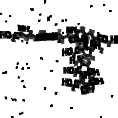 CC(O)C(N)C(=O)O.CSCCC(N)C(=O)O.Cl.NC(CO)C(=O)O.NC(Cc1ccccc1)C(=O)O.NCCCCC(N)C(=O)O.O=C(O)[C@@H]1CCCN1